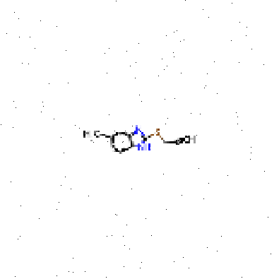 C#CCSc1nc2cc(C)ccc2[nH]1